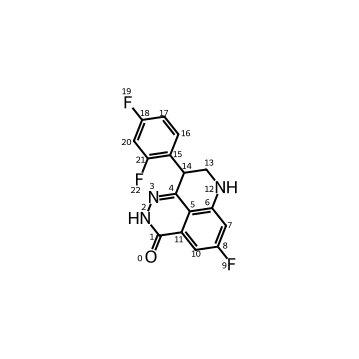 O=c1[nH]nc2c3c(cc(F)cc13)NCC2c1ccc(F)cc1F